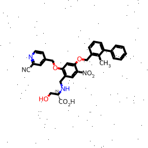 Cc1c(COc2cc(OCc3ccnc(C#N)c3)c(CN[C@@H](CO)C(=O)O)cc2[N+](=O)[O-])cccc1-c1ccccc1